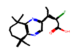 C/C(=C(\F)C(=O)O)c1cnc2c(n1)C(C)(C)CCC2(C)C